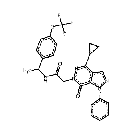 CC(NC(=O)Cn1nc(C2CC2)c2cnn(-c3ccccc3)c2c1=O)c1ccc(OC(F)(F)F)cc1